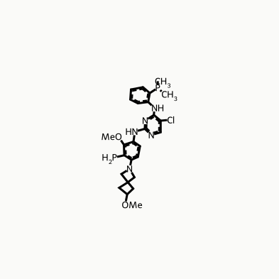 COc1c(Nc2ncc(Cl)c(Nc3ccccc3P(C)C)n2)ccc(N2CC3(CC(OC)C3)C2)c1P